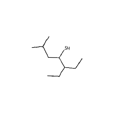 CCC(CC)C(S)CC(C)C